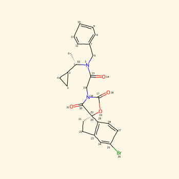 C[C@@H](C1CC1)N(Cc1ccccc1)C(=O)CN1C(=O)O[C@]2(CCc3cc(Br)ccc32)C1=O